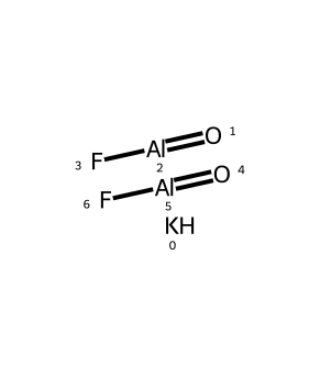 [KH].[O]=[Al][F].[O]=[Al][F]